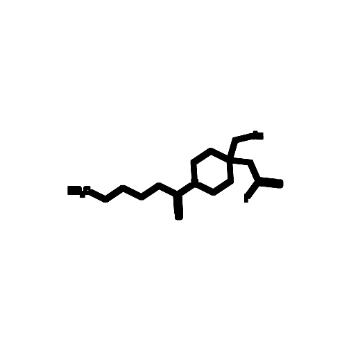 CC(=O)CC1(CC(=O)I)CCN(C(=O)CCCCC(=O)O)CC1